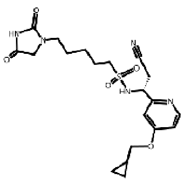 N#CC[C@@H](NS(=O)(=O)CCCCCN1CC(=O)NC1=O)c1cc(OCC2CC2)ccn1